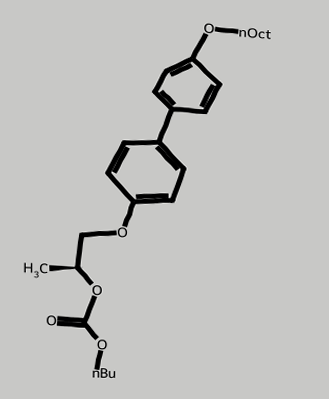 CCCCCCCCOc1ccc(-c2ccc(OC[C@H](C)OC(=O)OCCCC)cc2)cc1